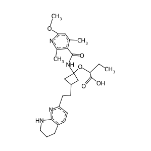 CCC(OC1(NC(=O)c2c(C)cc(OC)nc2C)CC(CCc2ccc3c(n2)NCCC3)C1)C(=O)O